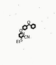 CCSc1ccc(Oc2ccc(C(=O)c3ccccc3)cc2)nc1C#N